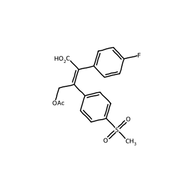 CC(=O)OCC(=C(C(=O)O)c1ccc(F)cc1)c1ccc(S(C)(=O)=O)cc1